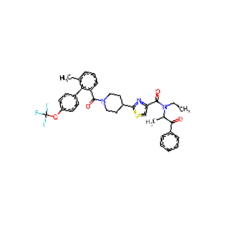 CCN(C(=O)c1csc(C2CCN(C(=O)c3cccc(C)c3-c3ccc(OC(F)(F)F)cc3)CC2)n1)C(C)C(=O)c1ccccc1